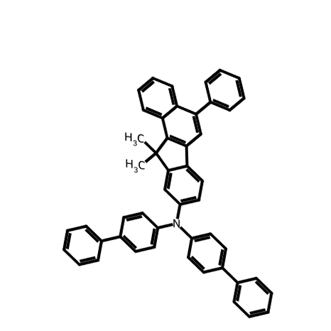 CC1(C)c2cc(N(c3ccc(-c4ccccc4)cc3)c3ccc(-c4ccccc4)cc3)ccc2-c2cc(-c3ccccc3)c3ccccc3c21